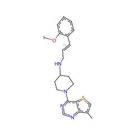 Cc1csc2c(N3CCC(NC/C=C/c4ccccc4OI)CC3)ncnc12